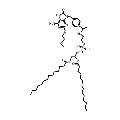 CCCCCCCCCCCCCC(=O)OCC(COP(=O)(O)OCCNC(=O)c1ccc(Cn2c(=O)[nH]c3c(N)nc(OCCOC)nc32)cc1)OC(=O)CCCCCCCCCCCCC